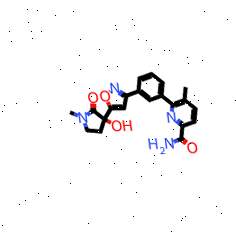 Cc1ccc(C(N)=O)nc1-c1cccc(-c2cc(C3(O)CCN(C)C3=O)on2)c1